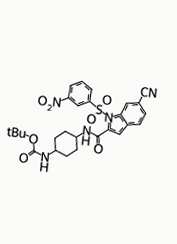 CC(C)(C)OC(=O)NC1CCC(NC(=O)c2cc3ccc(C#N)cc3n2S(=O)(=O)c2cccc([N+](=O)[O-])c2)CC1